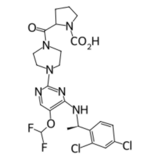 C[C@@H](Nc1nc(N2CCN(C(=O)C3CCCN3C(=O)O)CC2)ncc1OC(F)F)c1ccc(Cl)cc1Cl